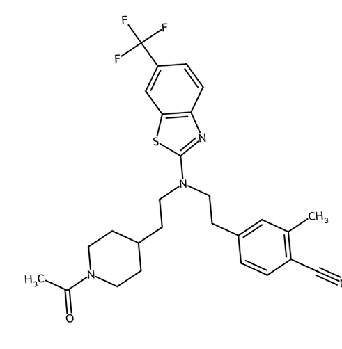 CC(=O)N1CCC(CCN(CCc2ccc(C#N)c(C)c2)c2nc3ccc(C(F)(F)F)cc3s2)CC1